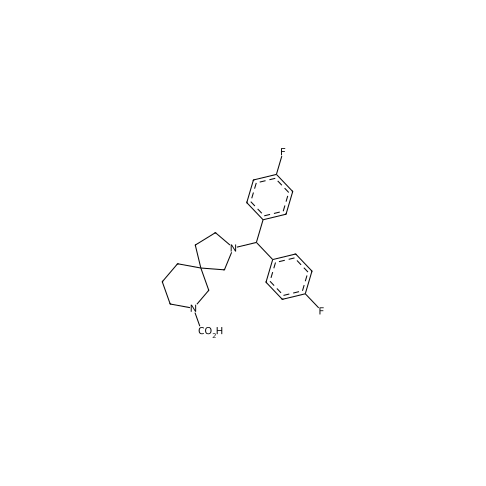 O=C(O)N1CCCC2(CCN(C(c3ccc(F)cc3)c3ccc(F)cc3)C2)C1